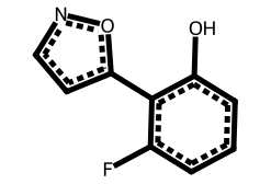 Oc1cccc(F)c1-c1ccno1